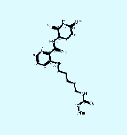 CC(C)(C)OC(=O)NCCCCCNc1cccnc1C(=O)NC1CCC(=O)NC1=O